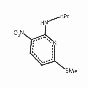 CCCNc1nc(SC)ccc1[N+](=O)[O-]